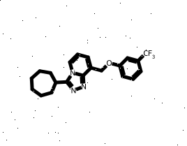 FC(F)(F)c1cccc(OCc2cccn3c(C4CCCCCC4)nnc23)c1